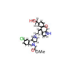 COC(=O)CN(Cc1ccc(Cl)cc1)C1CCN(CC/C=C2\C3=CC=CNC3COC3=C2CC(C(C)(C)O)C=C3)CC1